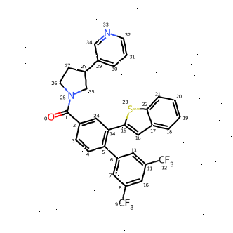 O=C(c1ccc(-c2cc(C(F)(F)F)cc(C(F)(F)F)c2)c(-c2cc3ccccc3s2)c1)N1CCC(c2cccnc2)C1